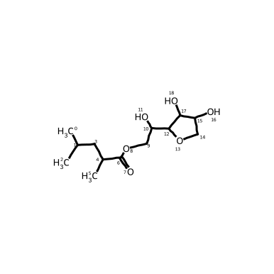 CC(C)CC(C)C(=O)OCC(O)C1OCC(O)C1O